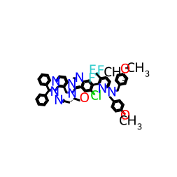 COc1ccc(CN(Cc2ccc(OC)cc2)c2cc(C)c(C(F)(F)F)c(-c3cc4ncnc5c4c(c3Cl)OC[C@H](CC#N)N5Cc3cccnc3N=C(c3ccccc3)c3ccccc3)n2)cc1